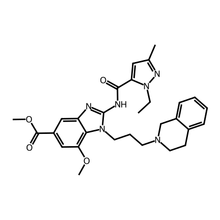 CCn1nc(C)cc1C(=O)Nc1nc2cc(C(=O)OC)cc(OC)c2n1CCCN1CCc2ccccc2C1